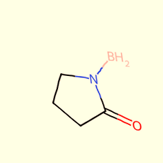 BN1CCCC1=O